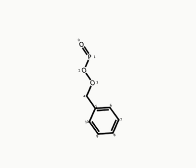 O=POOCc1ccccc1